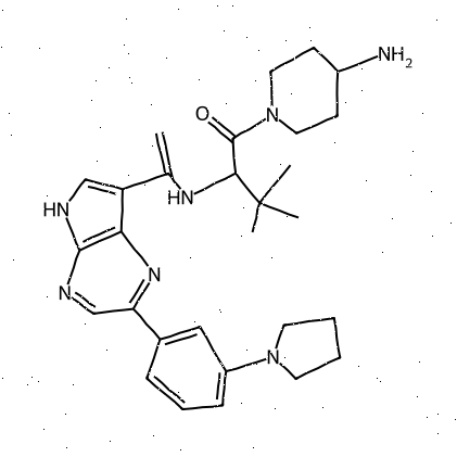 C=C(NC(C(=O)N1CCC(N)CC1)C(C)(C)C)c1c[nH]c2ncc(-c3cccc(N4CCCC4)c3)nc12